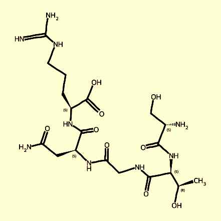 C[C@@H](O)[C@H](NC(=O)[C@@H](N)CO)C(=O)NCC(=O)N[C@@H](CC(N)=O)C(=O)N[C@@H](CCCNC(=N)N)C(=O)O